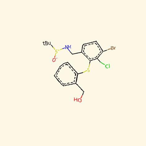 CC(C)(C)[S+]([O-])NCc1ccc(Br)c(Cl)c1Sc1ccccc1CO